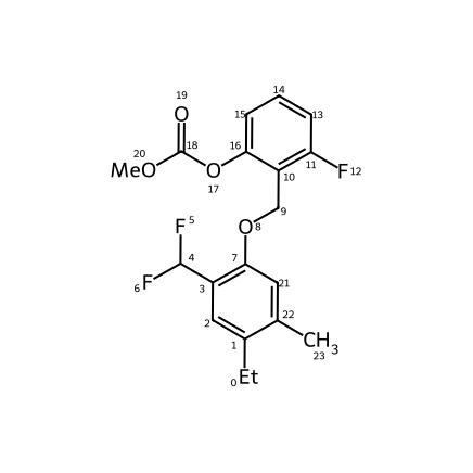 CCc1cc(C(F)F)c(OCc2c(F)cccc2OC(=O)OC)cc1C